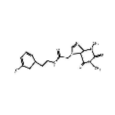 CC1=CC=CC(CCNC(=O)CN2C=NC3C2C(=O)N(C)C(=O)N3C)C1